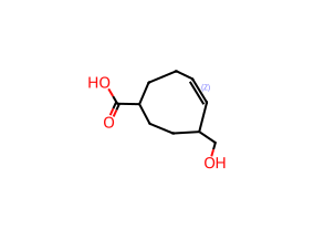 O=C(O)C1CC/C=C\C(CO)CC1